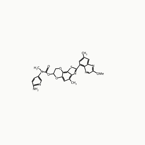 COc1cnc2c(-c3nc4c(C)cc5c(c4s3)OCC(OC(=O)N(C)c3ccc(N)nc3)O5)cc(C)cc2n1